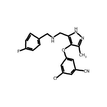 Cc1n[nH]c(CNCc2ccc(F)cc2)c1Oc1cc(Cl)cc(C#N)c1